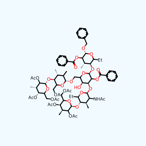 CCC1O[C@@H](O[C@@H]2C(OC(=O)c3ccccc3)[C@H](O[C@@H]3C(CC)O[C@@H](OCc4ccccc4)C(OC(=O)c4ccccc4)[C@H]3C)OC(CO[C@@H]3OC(COC(C)=O)[C@@H](O[C@@H]4OC(COC(C)=O)[C@H](OC(C)=O)[C@H](C)C4OC(C)=O)[C@H](C)C3C)[C@@H]2O)C(NC(C)=O)[C@@H](C)[C@@H]1O[C@@H]1OC(COC(C)=O)[C@H](OC(C)=O)[C@H](C)C1OC(C)=O